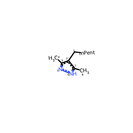 CCCCCCc1c(C)n[nH]c1C